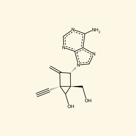 C#C[C@]12C(=C)[C@H](n3cnc4c(N)ncnc43)[C@]1(CO)C2O